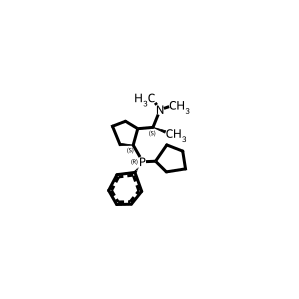 C[C@@H](C1CCC[C@@H]1[P@@](c1ccccc1)C1CCCC1)N(C)C